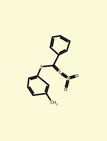 Cc1cccc(SC(=C=S(=O)=O)c2ccccc2)c1